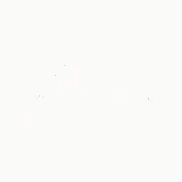 COCOc1cc(B2OC(C)(C)C(C)(C)O2)c2c3c(ccc2c1)CC(C(=O)OC)C3